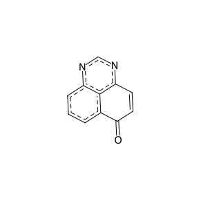 O=C1C=Cc2ncnc3cccc1c23